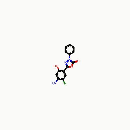 Nc1cc(O)c(-c2nn(-c3ccccc3)c(=O)o2)cc1Cl